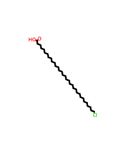 O=C(O)CCCCCCCCCCCCCCCCCCCCCCCCCCCCCCCCCl